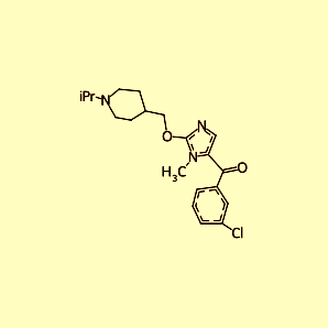 CC(C)N1CCC(COc2ncc(C(=O)c3cccc(Cl)c3)n2C)CC1